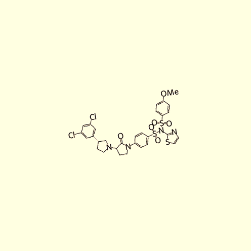 COc1ccc(S(=O)(=O)N(c2nccs2)S(=O)(=O)c2ccc(N3CCC(N4CC[C@H](c5cc(Cl)cc(Cl)c5)C4)C3=O)cc2)cc1